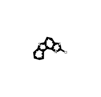 Clc1nc2c(ccc3sc4ccccc4c32)s1